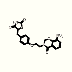 O=C1NC(=O)C(Cc2ccc(OCCN3COc4c(cccc4[N+](=O)[O-])C3=O)cc2)S1